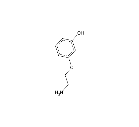 NCCOc1cccc(O)c1